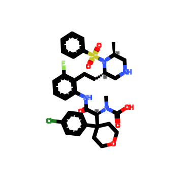 C[C@H]1CNC[C@H](CCc2c(F)cccc2NC(=O)[C@@H](N(C)C(=O)O)C2(c3ccc(Cl)cc3)CCOCC2)N1S(=O)(=O)c1ccccc1